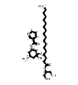 CCCCCCCCCCCCCCCCCC(=O)OC(CO)CO.C[C@@H]1C[C@@H](OC(=O)c2cccnc2)CC(C)(C)C1